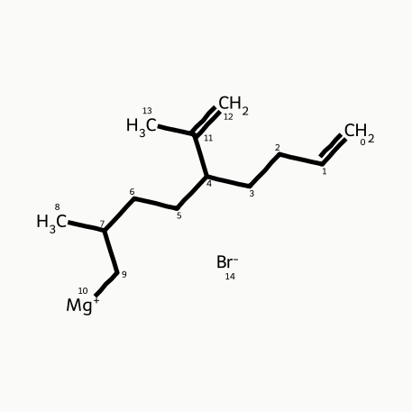 C=CCCC(CCC(C)[CH2][Mg+])C(=C)C.[Br-]